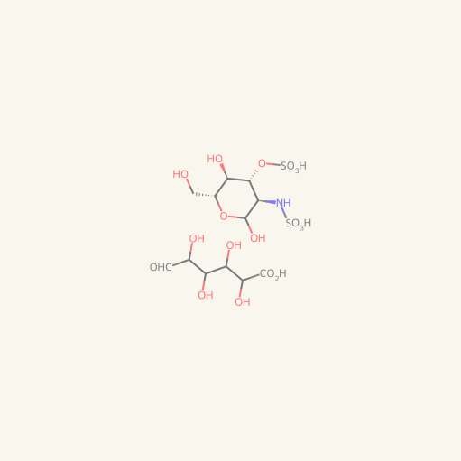 O=CC(O)C(O)C(O)C(O)C(=O)O.O=S(=O)(O)N[C@H]1C(O)O[C@H](CO)[C@@H](O)[C@@H]1OS(=O)(=O)O